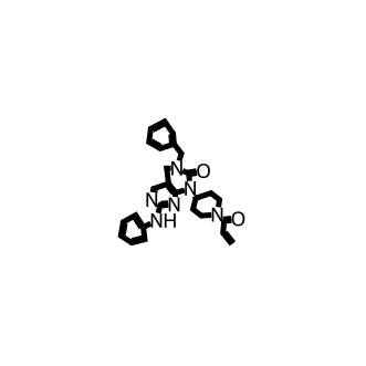 C=CC(=O)N1CCC(N2C(=O)N(Cc3ccccc3)Cc3cnc(Nc4ccccc4)nc32)CC1